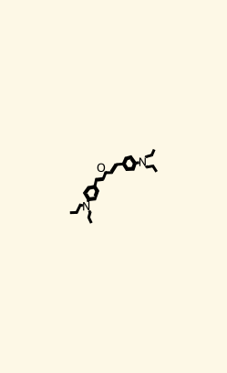 CCCN(CCC)c1ccc(C=CC(=O)C=Cc2ccc(N(CCC)CCC)cc2)cc1